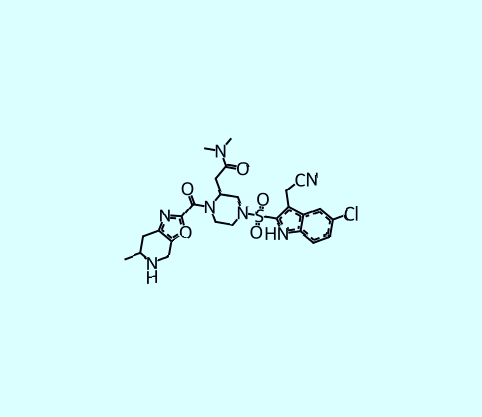 CC1Cc2nc(C(=O)N3CCN(S(=O)(=O)c4[nH]c5ccc(Cl)cc5c4CC#N)CC3CC(=O)N(C)C)oc2CN1